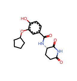 O=C1CC[C@H](NC(=O)c2ccc(O)c(OC3CCCC3)c2)C(=O)N1